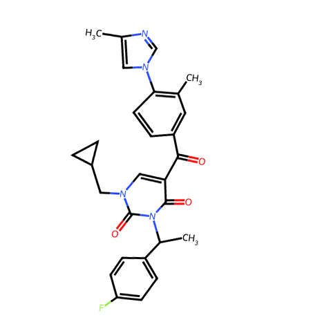 Cc1cn(-c2ccc(C(=O)c3cn(CC4CC4)c(=O)n(C(C)c4ccc(F)cc4)c3=O)cc2C)cn1